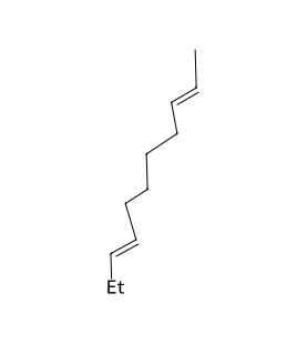 [CH2]C/C=C/CCCC/C=C/C